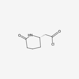 O=C(Cl)C[C@@H]1CCCC(=O)N1